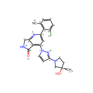 C[C@]1(O)CCN(c2ccn(-c3cc(-c4c(F)cccc4C#N)nc4c3C(=O)NC4)n2)C1